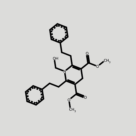 COC(=O)C1=C(CCc2ccccc2)N(CO)C(CCc2ccccc2)=C(C(=O)OC)C1